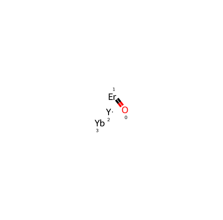 [O]=[Er].[Y].[Yb]